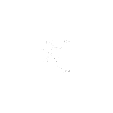 CC(CO)S(=O)(=O)OCC(C)(C)C